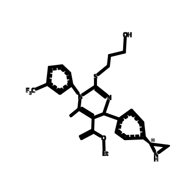 C=C(OCC)C1=C(C)N(c2cccc(C(F)(F)F)c2)C(SCCCO)=NC1c1ccc([C@H]2CN2)cc1